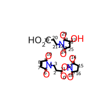 O=C(CCN1C(=O)C=CC1=O)ON1C(=O)CCC1=O.O=C(O)CCN1C(=O)CC(O)C1=O